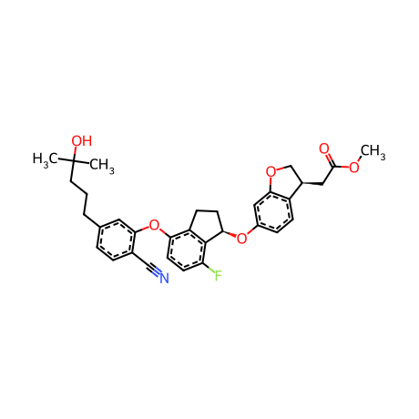 COC(=O)C[C@@H]1COc2cc(O[C@@H]3CCc4c(Oc5cc(CCCC(C)(C)O)ccc5C#N)ccc(F)c43)ccc21